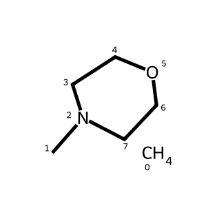 C.CN1CCOCC1